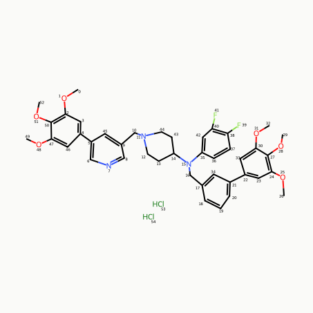 COc1cc(-c2cncc(CN3CCC(N(Cc4cccc(-c5cc(OC)c(OC)c(OC)c5)c4)c4ccc(F)c(F)c4)CC3)c2)cc(OC)c1OC.Cl.Cl